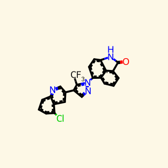 O=C1Nc2ccc(-n3ncc(-c4cnc5cccc(Cl)c5c4)c3C(F)(F)F)c3cccc1c23